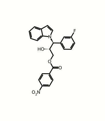 O=C(OC[C@H](O)[C@H](c1cccc(F)c1)n1ccc2ccccc21)c1ccc([N+](=O)[O-])cc1